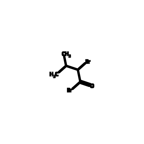 CC(C)C(Br)C(=O)Br